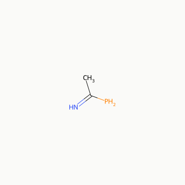 CC(=N)P